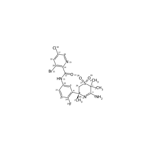 CC1(C)C(N)=N[C@](C)(c2cc(NC(=O)c3ncc(Cl)cc3Br)ccc2F)CS1(=O)=O